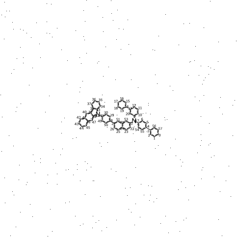 c1ccc(-c2ccc(N(c3cccc(-c4ccccc4)c3)c3ccc4ccc(-c5ccc(-n6c7ccccc7c7cc8ccccc8cc76)cc5)cc4c3)cc2)cc1